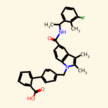 Cc1c(F)cccc1C(C)NC(=O)c1ccc2c(c1)c(C)c(C)n2Cc1ccc(-c2ccccc2C(=O)O)cc1